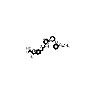 CCOc1ccccc1O[C@@H]1CCCN(c2cncc(NC(=O)Cc3ccc(CC(C)(C)C(=O)O)cc3)n2)C1